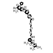 CC(=O)c1c(C)c2cnc(Nc3ccc(N4CCN(C(=O)CCOCCOCCOCCNc5ccc(C)c(C(=O)Nc6nc(C)c(C)s6)c5)CC4)cn3)nc2n(C2CCCC2)c1=O